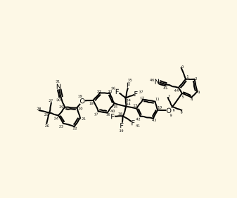 Cc1cccc(C(C)(C)Oc2ccc(C(c3ccc(Oc4cccc(C(C)(C)C)c4C#N)cc3)(C(F)(F)F)C(F)(F)F)cc2)c1C#N